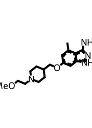 COCCN1CCC(COc2cc(C)c3c(N)n[nH]c3c2)CC1